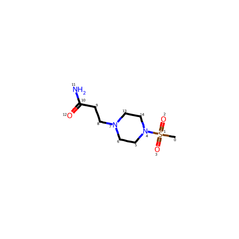 CS(=O)(=O)N1CCN(CCC(N)=O)CC1